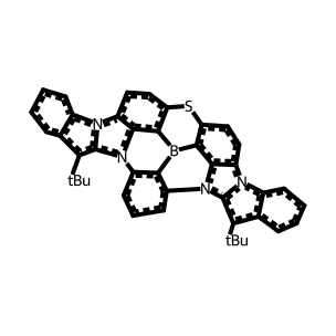 CC(C)(C)c1c2ccccc2n2c3ccc4c5c3n(c12)-c1cccc2c1B5c1c(ccc3c1n-2c1c(C(C)(C)C)c2ccccc2n31)S4